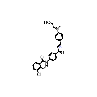 CN(CCO)c1ccc(/C=C/C(=O)c2ccc(NC(=O)c3cccc(Cl)c3F)cc2)cc1